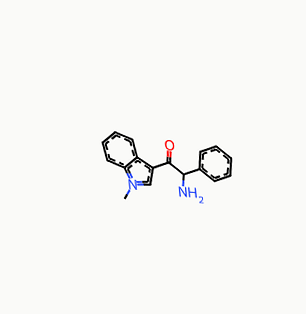 Cn1cc(C(=O)C(N)c2ccccc2)c2ccccc21